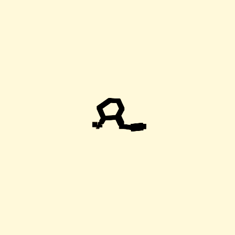 CC1CCCCC1=NC#N